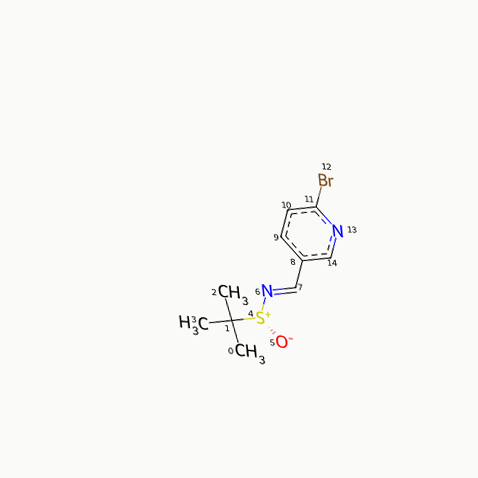 CC(C)(C)[S@@+]([O-])/N=C/c1ccc(Br)nc1